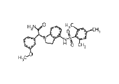 COc1cccc(C(C(N)=O)N2CCc3c(NS(=O)(=O)c4c(C)cc(C)cc4C)cccc32)c1